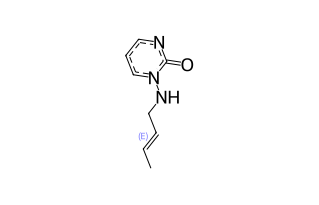 C/C=C/CNn1cccnc1=O